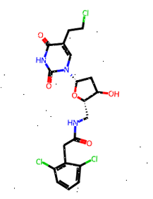 O=C(Cc1c(Cl)cccc1Cl)NC[C@@H]1O[C@H](n2cc(CCCl)c(=O)[nH]c2=O)CC1O